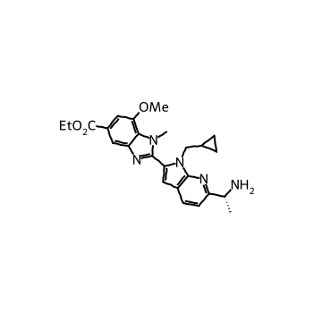 CCOC(=O)c1cc(OC)c2c(c1)nc(-c1cc3ccc([C@@H](C)N)nc3n1CC1CC1)n2C